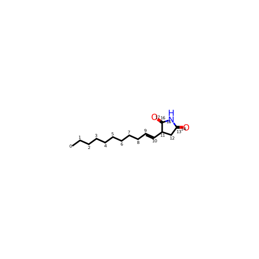 CCCCCCCCCC=CC1CC(=O)NC1=O